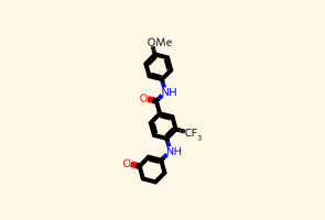 COc1ccc(NC(=O)c2ccc(NC3=CC(=O)CCC3)c(C(F)(F)F)c2)cc1